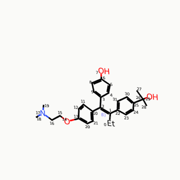 CC/C(=C(/c1ccc(O)cc1)c1ccc(OCCN(C)C)cc1)c1ccc(C(C)(C)O)cc1